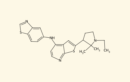 CCN1CCC(c2cc3c(Nc4ccc5scnc5c4)ccnc3s2)C1(C)C